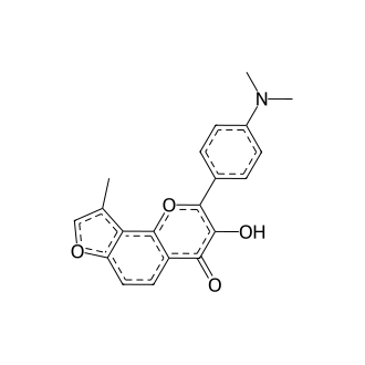 Cc1coc2ccc3c(=O)c(O)c(-c4ccc(N(C)C)cc4)oc3c12